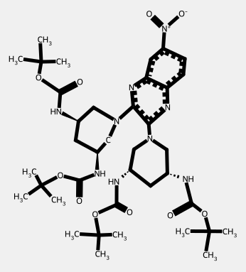 CC(C)(C)OC(=O)N[C@@H]1C[C@H](NC(=O)OC(C)(C)C)CN(c2nc3ccc([N+](=O)[O-])cc3nc2N2C[C@H](NC(=O)OC(C)(C)C)C[C@H](NC(=O)OC(C)(C)C)C2)C1